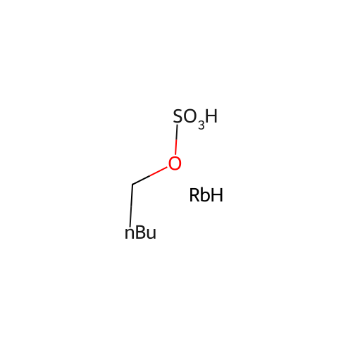 CCCCCOS(=O)(=O)O.[RbH]